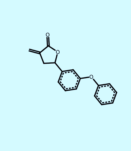 C=C1CC(c2cccc(Oc3ccccc3)c2)OC1=O